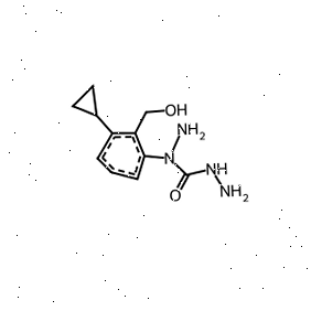 NNC(=O)N(N)c1cccc(C2CC2)c1CO